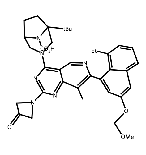 CCc1cccc2cc(OCOC)cc(-c3ncc4c(N5CC6CCC(C(C)(C)C)(C5)N6C(=O)O)nc(N5CC(=O)C5)nc4c3F)c12